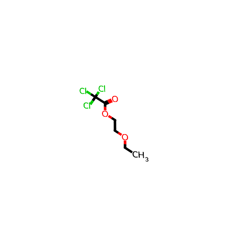 CCOCCOC(=O)C(Cl)(Cl)Cl